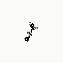 COc1ccc2[nH]cc(CCNC(=O)OCc3ccccc3)c2c1